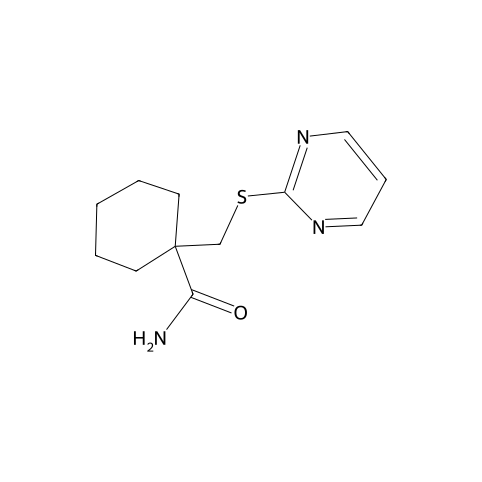 NC(=O)C1(CSc2ncccn2)CCCCC1